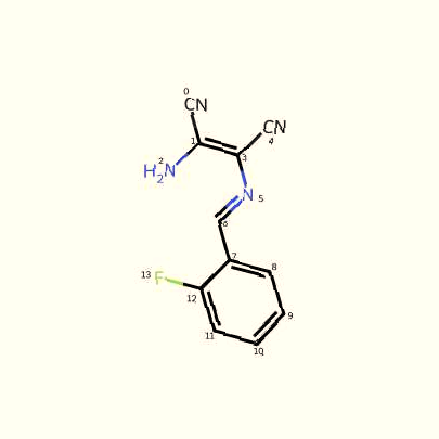 N#CC(N)=C(C#N)N=Cc1ccccc1F